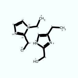 CCc1c[nH]c(CO)n1.CCn1ccnc1CCl